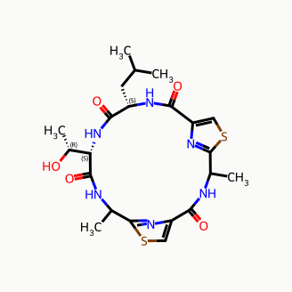 CC(C)C[C@@H]1NC(=O)c2csc(n2)C(C)NC(=O)c2csc(n2)C(C)NC(=O)[C@H]([C@@H](C)O)NC1=O